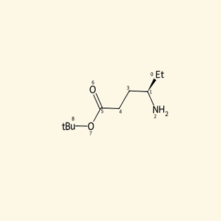 CC[C@@H](N)CCC(=O)OC(C)(C)C